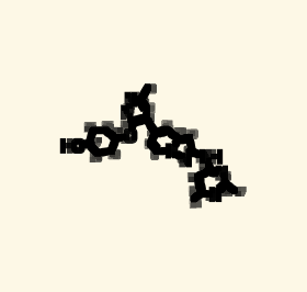 Cc1cc(-c2ccn3nc(Nc4cc(C)nc(C)n4)cc3c2)c(OC2CCC(O)CC2)nn1